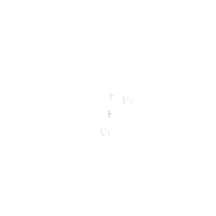 [Br-].[Br-].[K+].[K+]